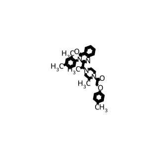 Cc1ccc(OCC(=O)N2CCN(C(C)c3nc4ccccc4c(=O)n3-c3ccc(C)cc3C)CC2C)cc1